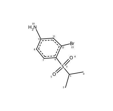 CC(C)S(=O)(=O)c1ccc(N)cc1Br